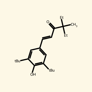 CCC(C)(CC)C(=O)C=Cc1cc(C(C)(C)C)c(O)c(C(C)(C)C)c1